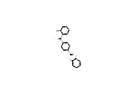 Cc1ccccc1C(=O)c1ccc(-c2nc3ccccc3[nH]2)cc1